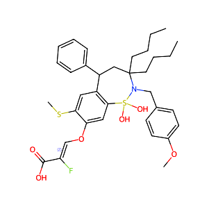 CCCCC1(CCCC)CC(c2ccccc2)c2cc(SC)c(O/C=C(\F)C(=O)O)cc2S(O)(O)N1Cc1ccc(OC)cc1